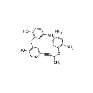 CC(O)Oc1ccc(N)cc1N.Nc1ccc(O)c(Cc2cc(N)ccc2O)c1